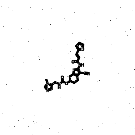 Cn1cncc1CNC(=O)OC1CCc2c(sc(NC(=O)C=Cc3ccco3)c2C#N)C1